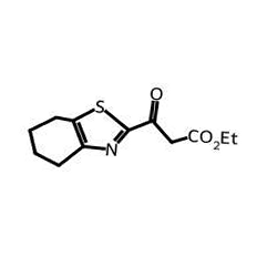 CCOC(=O)CC(=O)c1nc2c(s1)CCCC2